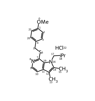 COc1ccc(CSc2nccc3c(C)c(C)n(CC(C)C)c23)cc1.Cl